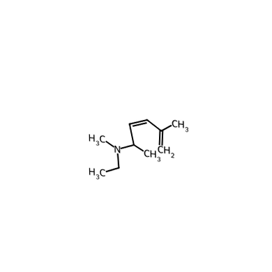 C=C(C)/C=C\C(C)N(C)CC